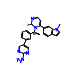 CC1N=CC=C(c2ccc3ccn(C)c3c2)N1[C@@H](C)c1cccc(-c2cnc(N)nc2)c1